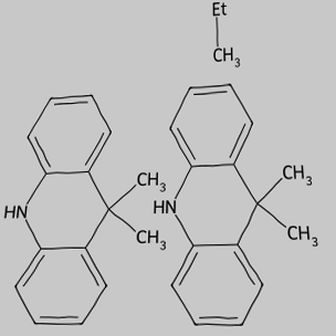 CC1(C)c2ccccc2Nc2ccccc21.CC1(C)c2ccccc2Nc2ccccc21.CCC